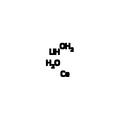 O.O.[Ce].[LiH]